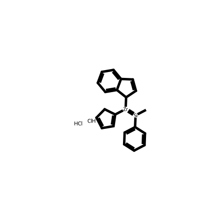 C/[Si](c1ccccc1)=[Zr](/[C]1=CC=CC1)[CH]1C=Cc2ccccc21.Cl.Cl